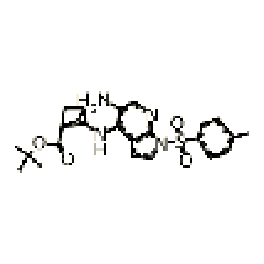 Cc1ccc(S(=O)(=O)n2ccc3c(NC4C5CC4(C(=O)OC(C)(C)C)C5)c(N)cnc32)cc1